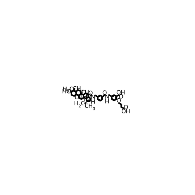 C=C(C)[C@@H]1CC[C@]2(C(=O)NCc3cccc(C(=O)NCc4ccc(OCCCC(=O)O)c(C(=O)O)c4)c3)CC[C@]3(C)C(CCC4[C@@]5(C)CC[C@H](O)C(C)(C)C5CC[C@]43C)C12